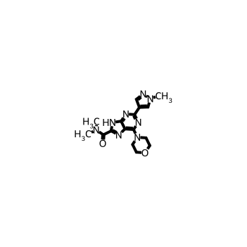 CN(C)C(=O)c1nc2c(N3CCOCC3)nc(-c3cnn(C)c3)nc2[nH]1